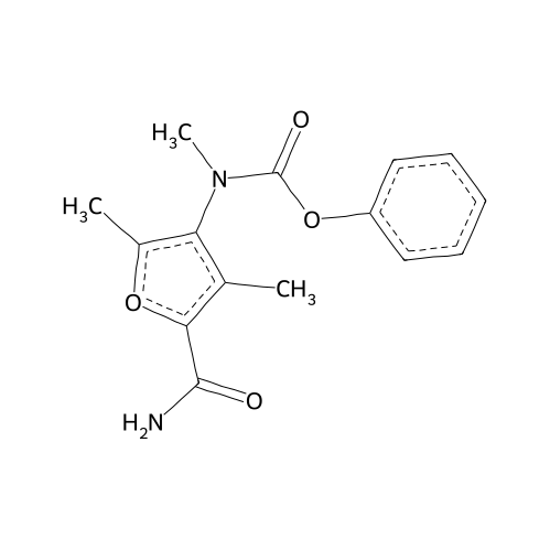 Cc1oc(C(N)=O)c(C)c1N(C)C(=O)Oc1ccccc1